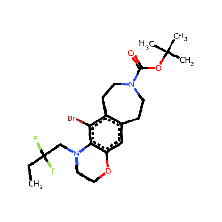 CCC(F)(F)CN1CCOc2cc3c(c(Br)c21)CCN(C(=O)OC(C)(C)C)CC3